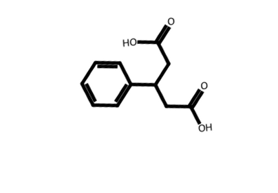 O=C(O)CC(CC(=O)O)c1ccccc1